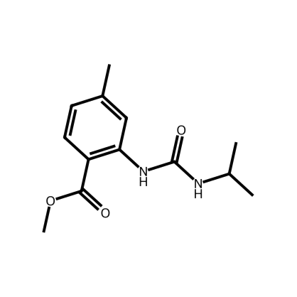 COC(=O)c1ccc(C)cc1NC(=O)NC(C)C